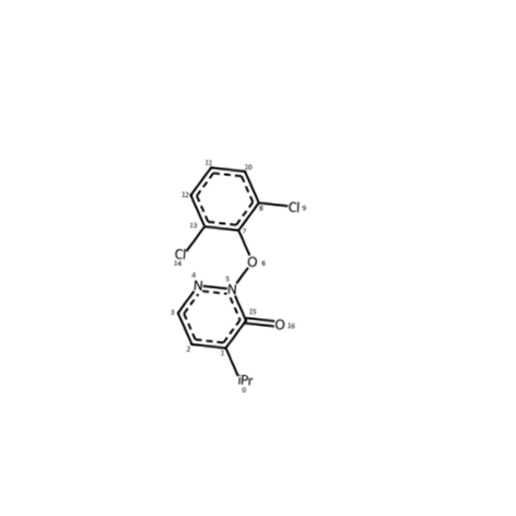 CC(C)c1ccnn(Oc2c(Cl)cccc2Cl)c1=O